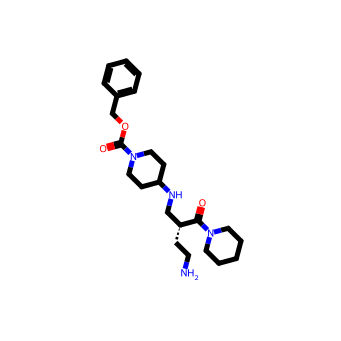 NCC[C@H](CNC1CCN(C(=O)OCc2ccccc2)CC1)C(=O)N1CCCCC1